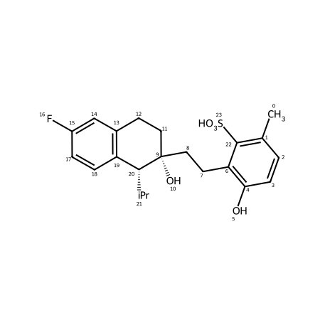 Cc1ccc(O)c(CC[C@]2(O)CCc3cc(F)ccc3[C@H]2C(C)C)c1S(=O)(=O)O